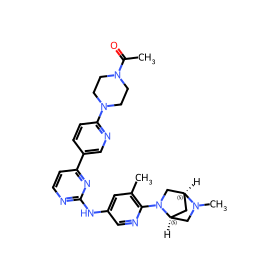 CC(=O)N1CCN(c2ccc(-c3ccnc(Nc4cnc(N5C[C@@H]6C[C@H]5CN6C)c(C)c4)n3)cn2)CC1